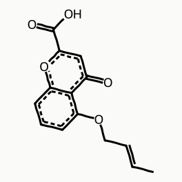 CC=CCOc1cccc2oc(C(=O)O)cc(=O)c12